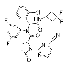 N#Cc1ccnc(N2C(=O)CC[C@H]2C(=O)N(c2cc(F)cc(F)c2)C(C(=O)NC2CC(F)(F)C2)c2ccccc2Cl)n1